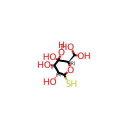 OC(O)[C@H]1OC(S)[C@H](O)[C@@H](O)C1(O)O